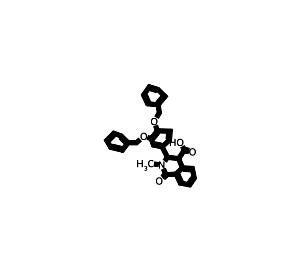 CN1C(=O)c2ccccc2C(C(=O)O)C1c1ccc(OCc2ccccc2)c(OCc2ccccc2)c1